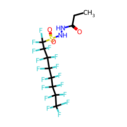 CCC(=O)NNS(=O)(=O)C(F)(F)C(F)(F)C(F)(F)C(F)(F)C(F)(F)C(F)(F)C(F)(F)C(F)(F)F